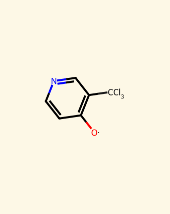 [O]c1ccncc1C(Cl)(Cl)Cl